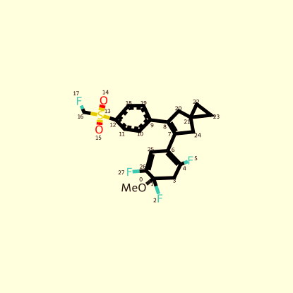 COC1(F)CC(F)=C(C2=C(c3ccc(S(=O)(=O)CF)cc3)CC3(CC3)C2)C=C1F